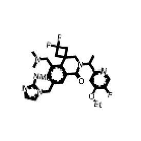 CCOc1cc(C(C)N2CC3(CC(F)(F)C3)c3c(CN(C)C)cc(Cn4ccnc4NC)cc3C2=O)ncc1F